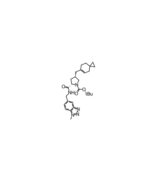 Cn1nnc2cc(CNC(=O)[C@@H]3C[C@@H](CC4=CCC5(CC4)CC5)CN3C(=O)OC(C)(C)C)ccc21